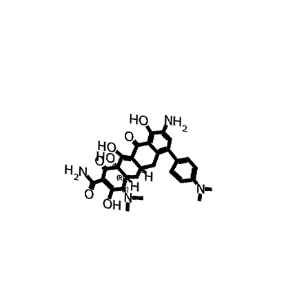 CN(C)c1ccc(-c2cc(N)c(O)c3c2C[C@@H]2C[C@@H]4[C@@H](N(C)C)C(O)=C(C(N)=O)C(=O)[C@@]4(O)C(O)=C2C3=O)cc1